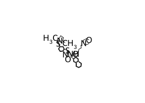 CC1CCC(C)N1Sc1ccc2nc(NC(=O)c3cc4ccccc4cc3OCCCCN3CCOCC3)sc2c1